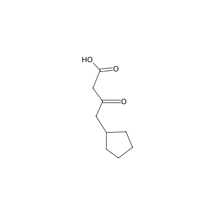 O=C(O)CC(=O)CC1CCCC1